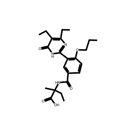 CCCOc1ccc(C(=O)NC(C)(CC)C(=O)O)cc1-c1nc(CC)c(CC)c(=O)[nH]1